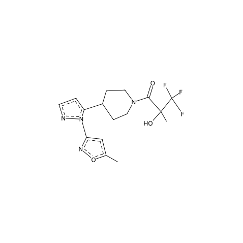 Cc1cc(-n2nccc2C2CCN(C(=O)C(C)(O)C(F)(F)F)CC2)no1